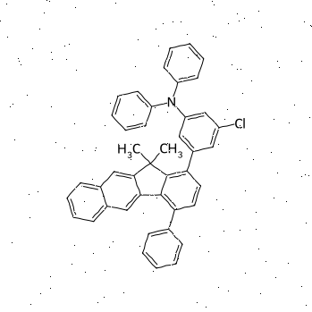 CC1(C)c2cc3ccccc3cc2-c2c(-c3ccccc3)ccc(-c3cc(Cl)cc(N(c4ccccc4)c4ccccc4)c3)c21